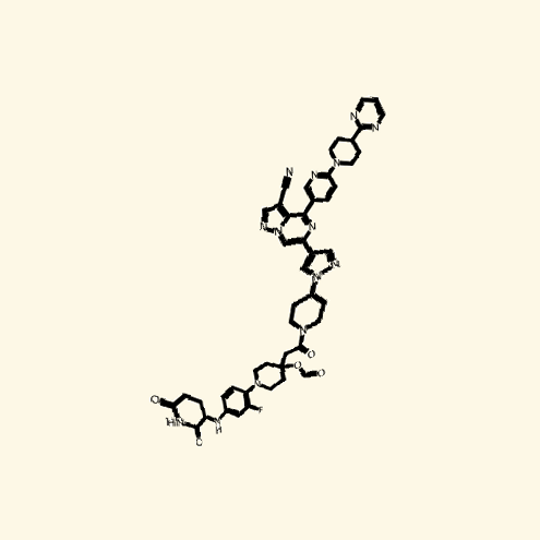 N#Cc1cnn2cc(-c3cnn(C4CCN(C(=O)CC5(OC=O)CCN(c6ccc(NC7CCC(=O)NC7=O)cc6F)CC5)CC4)c3)nc(-c3ccc(N4CCC(c5ncccn5)CC4)nc3)c12